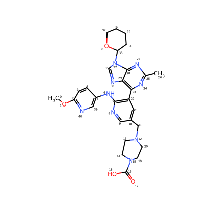 COc1ccc(Nc2ncc(CN3CCN(C(=O)O)CC3)cc2-c2nc(C)nc3c2ncn3C2CCCCO2)cn1